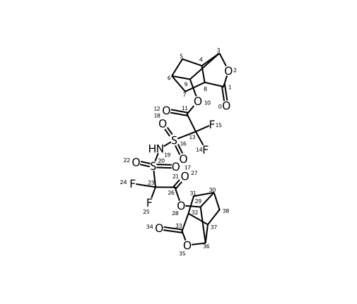 O=C1OC2C3CC(CC13)C2OC(=O)C(F)(F)S(=O)(=O)NS(=O)(=O)C(F)(F)C(=O)OC1C2CC3C(=O)OC1C3C2